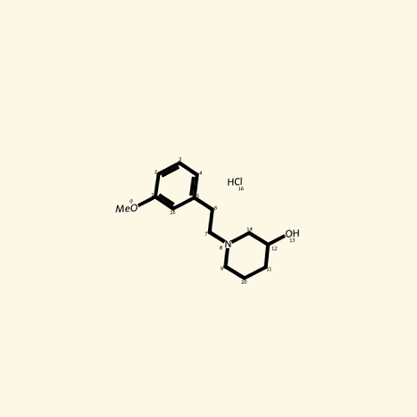 COc1cccc(CCN2CCCC(O)C2)c1.Cl